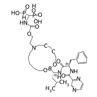 CC(C)C[C@@H](NC(=O)[C@@H](Cc1ccccc1)NC(=O)c1cnccn1)B1OCCCCCN(CCOC(=O)NC([PH](=O)O)P(=O)(O)O)CCCCCO1